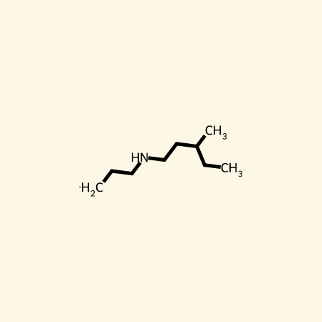 [CH2]CCNCCC(C)CC